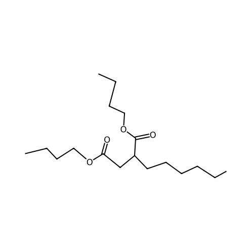 CCCCCCC(CC(=O)OCCCC)C(=O)OCCCC